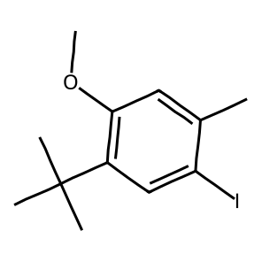 COc1cc(C)c(I)cc1C(C)(C)C